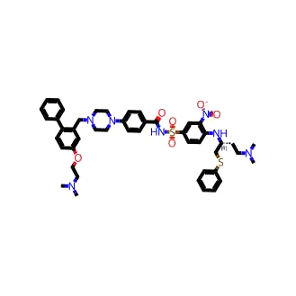 CN(C)CCOc1ccc(-c2ccccc2)c(CN2CCN(c3ccc(C(=O)NS(=O)(=O)c4ccc(N[C@H](CCN(C)C)CSc5ccccc5)c([N+](=O)[O-])c4)cc3)CC2)c1